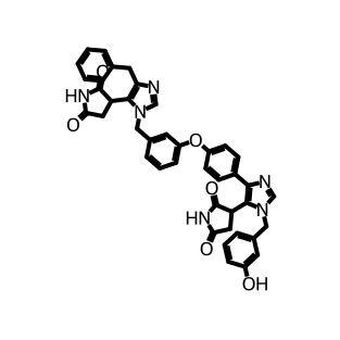 O=C1CC(c2c(Cc3ccccc3)ncn2Cc2cccc(Oc3ccc(-c4ncn(Cc5cccc(O)c5)c4C4CC(=O)NC4=O)cc3)c2)C(=O)N1